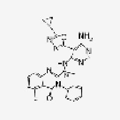 C[C@H](Nc1ncnc(N)c1-c1nnc(C2CC2)o1)c1nc2cccc(F)c2c(=O)n1-c1ccccc1